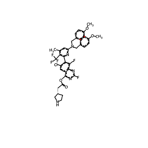 COc1ccc(CN(Cc2ccc(OC)cc2)c2cc(C)c(C(F)(F)F)c(-c3c(Cl)cc4c(OC(=O)C[C@@H]5CCNC5)nc(F)nc4c3F)n2)cc1